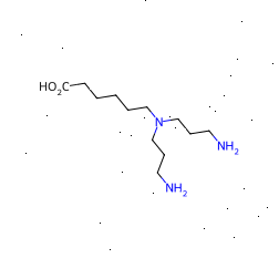 NCCCN(CCCN)CCCCCC(=O)O